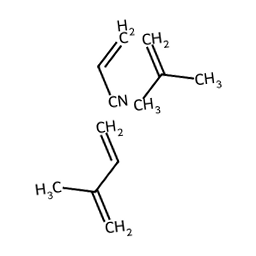 C=C(C)C.C=CC#N.C=CC(=C)C